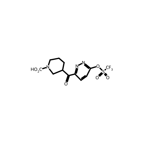 O=C(c1ccc(OS(=O)(=O)C(F)(F)F)nn1)C1CCCN(C(=O)O)C1